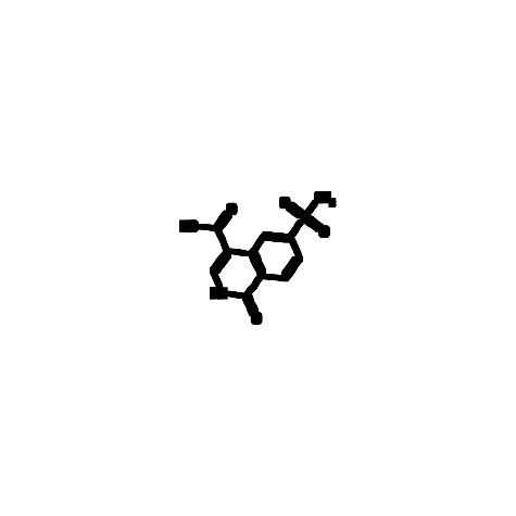 CS(=O)(=O)c1ccc2c(=O)[nH]cc(C(=O)O)c2c1